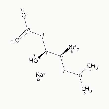 CC(C)C[C@H](N)[C@@H](O)CC(=O)[O-].[Na+]